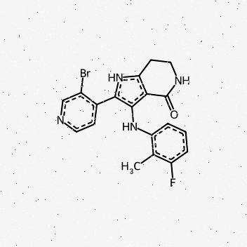 Cc1c(F)cccc1Nc1c(-c2ccncc2Br)[nH]c2c1C(=O)NCC2